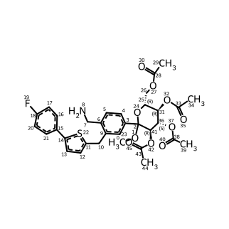 COC1(c2ccc(CN)c(Cc3ccc(-c4ccc(F)cc4)s3)c2)O[C@H](COC(C)=O)[C@@H](OC(C)=O)[C@H](OC(C)=O)[C@H]1OC(C)=O